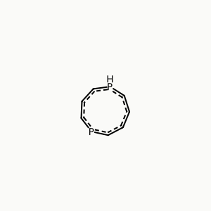 c1cc[pH]cccpc1